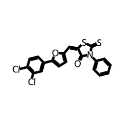 O=C1/C(=C\c2ccc(-c3ccc(Cl)c(Cl)c3)o2)SC(=S)N1c1ccccc1